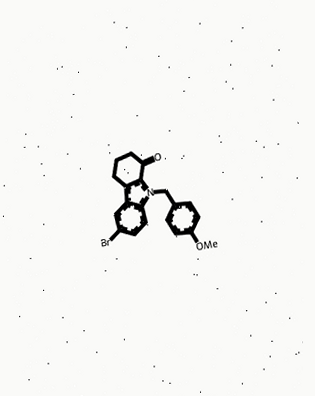 COc1ccc(Cn2c3c(c4cc(Br)ccc42)CCCC3=O)cc1